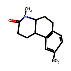 CN1C(=O)CCC2c3cc([N+](=O)[O-])ccc3CCC21